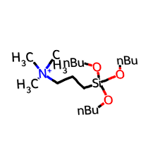 CCCCO[Si](CCC[N+](C)(C)C)(OCCCC)OCCCC